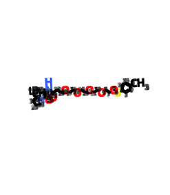 Cc1ccc(SOCCOCCOCCOCCOCCC(=O)NC(C(=O)N2CCCC2C)C(C)(C)C)cc1